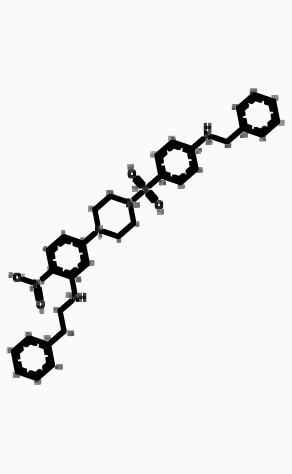 O=[N+]([O-])c1ccc(N2CCN(S(=O)(=O)c3ccc(NCc4ccccc4)cc3)CC2)cc1NCCc1ccccc1